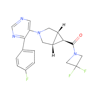 O=C([C@H]1[C@@H]2CN(c3cncnc3-c3ccc(F)cc3)C[C@@H]21)N1CC(F)(F)C1